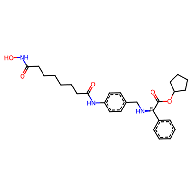 O=C(CCCCCCC(=O)Nc1ccc(CN[C@@H](C(=O)OC2CCCC2)c2ccccc2)cc1)NO